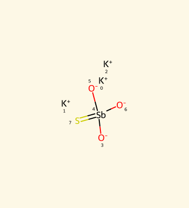 [K+].[K+].[K+].[O-][Sb]([O-])([O-])=[S]